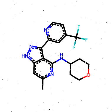 Cc1cc2[nH]nc(-c3cc(C(F)(F)F)ccn3)c2c(NC2CCOCC2)n1